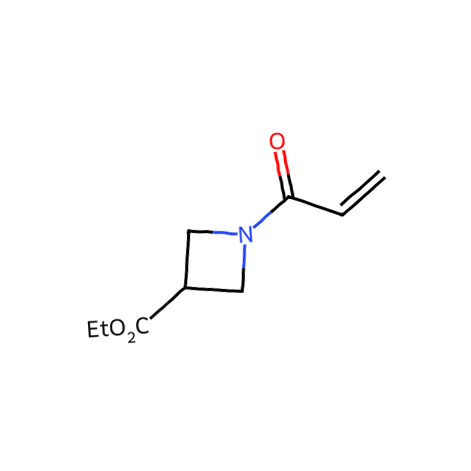 C=CC(=O)N1CC(C(=O)OCC)C1